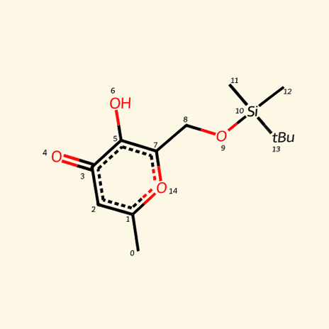 Cc1cc(=O)c(O)c(CO[Si](C)(C)C(C)(C)C)o1